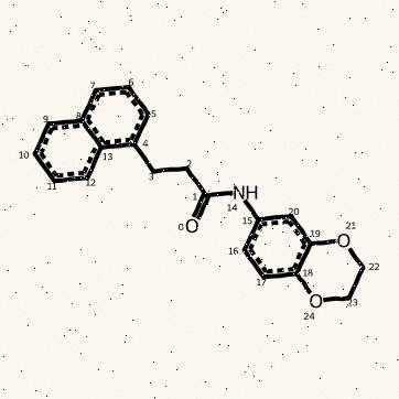 O=C(CCc1cccc2ccccc12)Nc1ccc2c(c1)OCCO2